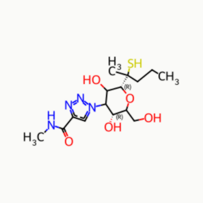 CCCC(C)(S)[C@@H]1OC(CO)[C@H](O)C(n2cc(C(=O)NC)nn2)C1O